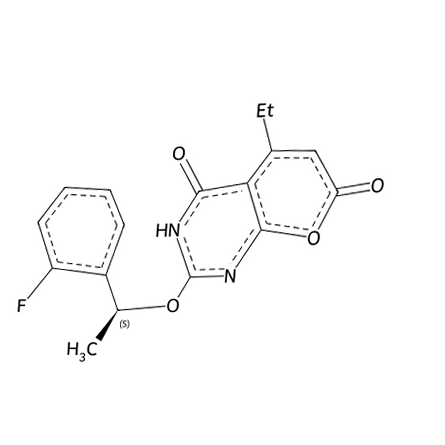 CCc1cc(=O)oc2nc(O[C@@H](C)c3ccccc3F)[nH]c(=O)c12